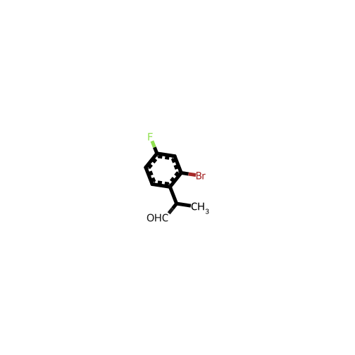 CC(C=O)c1ccc(F)cc1Br